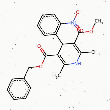 COC(=O)C1=C(C)NC(C)=C(C(=O)OCc2ccccc2)C1c1ccccc1[N+](=O)[O-]